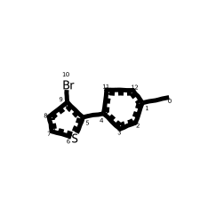 Cc1ccc(-c2sccc2Br)cc1